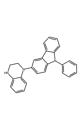 c1ccc(-n2c3ccccc3c3cc(N4CCNc5ccccc54)ccc32)cc1